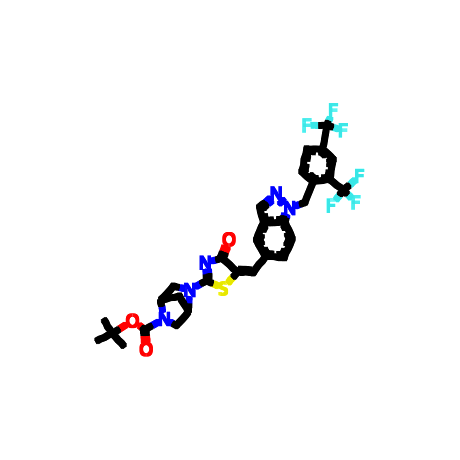 CC(C)(C)OC(=O)N1CC2CC1CN2C1=NC(=O)C(=Cc2ccc3c(cnn3Cc3ccc(C(F)(F)F)cc3C(F)(F)F)c2)S1